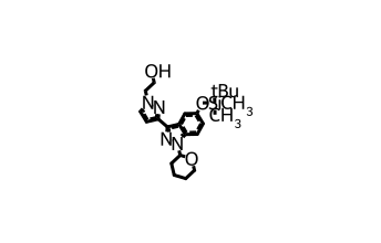 CC(C)(C)[Si](C)(C)Oc1ccc2c(c1)c(-c1ccn(CCO)n1)nn2C1CCCCO1